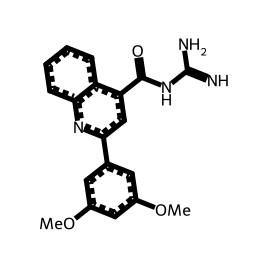 COc1cc(OC)cc(-c2cc(C(=O)NC(=N)N)c3ccccc3n2)c1